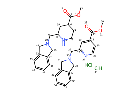 COC(=O)C1CCNC(CN2Cc3ccccc3C2)C1.COC(=O)c1ccnc(CN2Cc3ccccc3C2)c1.Cl.Cl